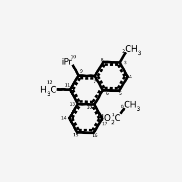 CC(=O)O.Cc1ccc2c(c1)c(C(C)C)c(C)c1ccccc12